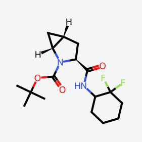 CC(C)(C)OC(=O)N1[C@@H]2C[C@@H]2C[C@H]1C(=O)NC1CCCCC1(F)F